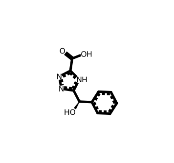 O=C(O)c1nnc([C@H](O)c2ccccc2)[nH]1